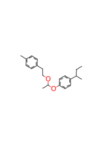 CCC(C)c1ccc(OC(C)OCCc2ccc(C)cc2)cc1